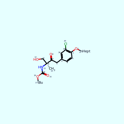 CCCCCCCOc1ccc(CC(=O)[C@](C)(CO)NC(=O)OC(C)(C)C)cc1Cl